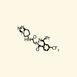 CC(C)c1nn(CC(=O)NC2CCc3nncn3C2)c(=O)c2ccc(C(F)(F)F)cc12